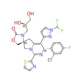 O=C1OC[C@]2(CC3=C(c4ccn(C(F)F)n4)[C@H](c4ccc(F)cc4Cl)N=C(c4nccs4)N3C2)N1C[C@@H](O)CO